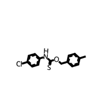 Cc1ccc(COC(=S)Nc2ccc(Cl)cc2)cc1